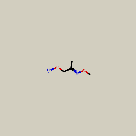 CO/N=C(\C)CON